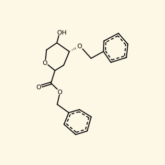 O=C(OCc1ccccc1)C1C[C@@H](OCc2ccccc2)C(O)CO1